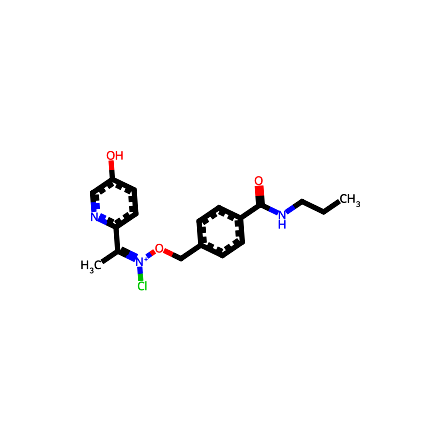 CCCNC(=O)c1ccc(CO[N+](Cl)=C(C)c2ccc(O)cn2)cc1